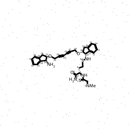 CNCC(=S)N[C@@H](CCSN[C@H]1c2ccccc2C[C@H]1OCC#CC#CCO[C@@H]1Cc2ccccc2[C@@H]1N)C(N)=O